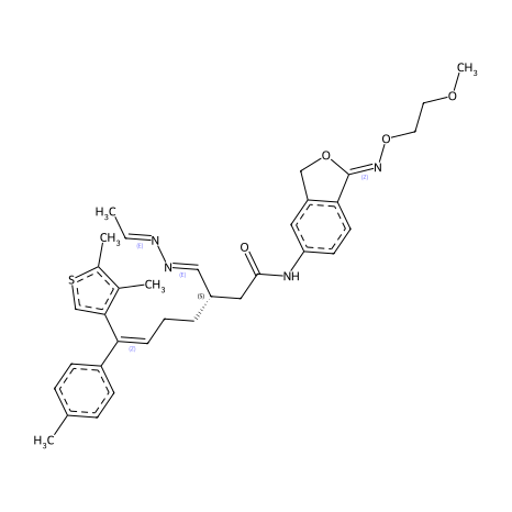 C/C=N/N=C/[C@@H](CC/C=C(/c1ccc(C)cc1)c1csc(C)c1C)CC(=O)Nc1ccc2c(c1)CO/C2=N\OCCOC